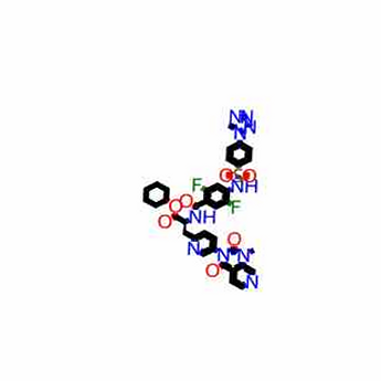 Cn1c(=O)n(-c2ccc(C[C@H](NC(=O)c3cc(F)c(NS(=O)(=O)c4ccc(-n5cnnn5)cc4)cc3F)C(=O)OC3CCCCC3)nc2)c(=O)c2ccncc21